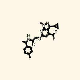 Cc1ccc(C(C)NC(=O)COc2cc(C(F)F)c3c(C4CC4)nn(C)c3n2)cc1